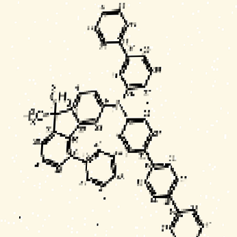 CC1(C)c2ccc(N(c3ccc(-c4ccc(-c5ccccc5)cc4)cc3)c3cccc(-c4ccccc4)c3)cc2-c2c(-c3ccccc3)cccc21